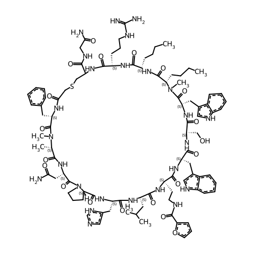 CCCC[C@@H]1NC(=O)[C@H](CCCC)N(C)C(=O)[C@H](Cc2c[nH]c3ccccc23)NC(=O)[C@H](CO)NC(=O)[C@H](Cc2c[nH]c3ccccc23)NC(=O)[C@H](CCNC(=O)c2ccco2)NC(=O)[C@H](CC(C)C)NC(=O)[C@H](Cc2cnc[nH]2)NC(=O)[C@@H]2CCCN2C(=O)[C@H](CC(N)=O)NC(=O)[C@H](C)N(C)C(=O)[C@H](Cc2ccccc2)NC(=O)CSCC(C(=O)NCC(N)=O)NC(=O)[C@H](CCCNC(=N)N)NC1=O